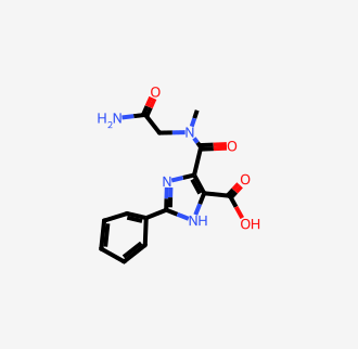 CN(CC(N)=O)C(=O)c1nc(-c2ccccc2)[nH]c1C(=O)O